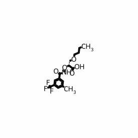 CCCCOC[C@@H](ONC(=O)c1cc(C)cc(C(F)(F)F)c1)C(=O)O